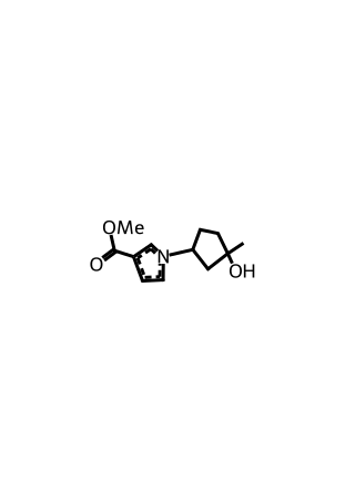 COC(=O)c1ccn(C2CCC(C)(O)C2)c1